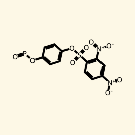 O=POc1ccc(OS(=O)(=O)c2ccc([N+](=O)[O-])cc2[N+](=O)[O-])cc1